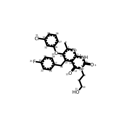 Cc1nc2[nH]c(=O)n(CCCO)c(=O)c2c(Cc2ccc(F)cc2)c1Oc1cccc(Cl)c1